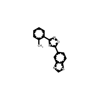 Cc1ccccc1-c1noc(-c2ccc3scnc3c2)n1